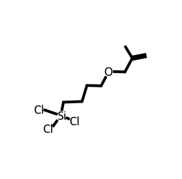 C=C(C)COCCCC[Si](Cl)(Cl)Cl